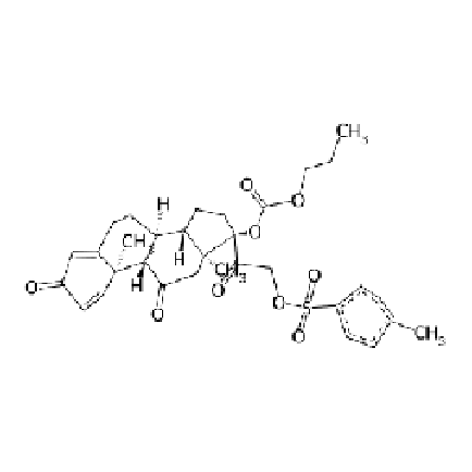 CCCOC(=O)O[C@]1(C(=O)COS(=O)(=O)c2ccc(C)cc2)CC[C@H]2[C@@H]3CCC4=CC(=O)C=C[C@]4(C)[C@H]3C(=O)C[C@@]21C